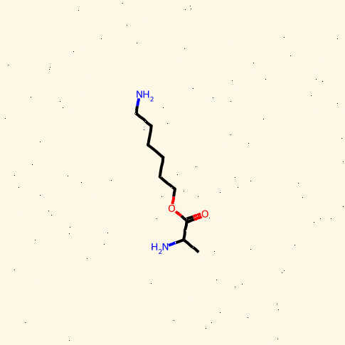 CC(N)C(=O)OCCCCCCN